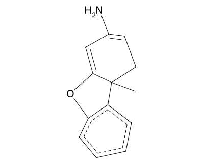 CC12CC=C(N)C=C1Oc1ccccc12